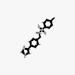 Cc1ccc(S(=O)(=O)NCc2ccc(-c3cnco3)cc2)cc1